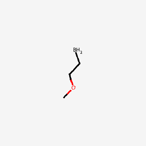 BCCOC